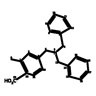 Cc1cc(CN(Cc2ccccc2)Cc2ccccc2)ccc1C(=O)O